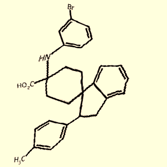 Cc1ccc(C2Cc3ccccc3C23CCC(Nc2cccc(Br)c2)(C(=O)O)CC3)cc1